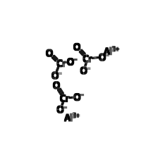 [Al+3].[Al+3].[O]=[Cr]([O-])[O-].[O]=[Cr]([O-])[O-].[O]=[Cr]([O-])[O-]